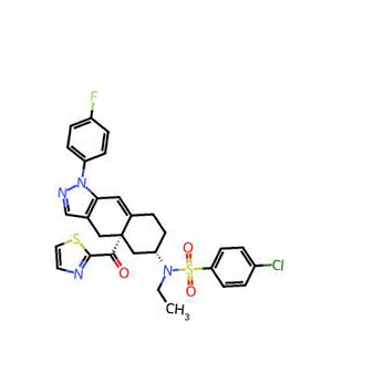 CCN([C@H]1CCC2=Cc3c(cnn3-c3ccc(F)cc3)C[C@]2(C(=O)c2nccs2)C1)S(=O)(=O)c1ccc(Cl)cc1